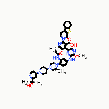 C=CC(=O)Nc1cc(Nc2nc(-c3ccnc(N4CCc5c(sc6c5CCCC6)C4=O)c3CO)cnc2OC)ccc1N1CCN(C2CCN(c3ccnc(C(C)(C)O)c3)CC2)C[C@@H]1C